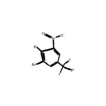 O=[N+]([O-])c1cc(C(F)(F)F)cc(Br)c1Br